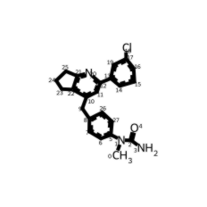 CN(C(N)=O)c1ccc(Cc2cc(-c3cccc(Cl)c3)nc3c2CCC3)cc1